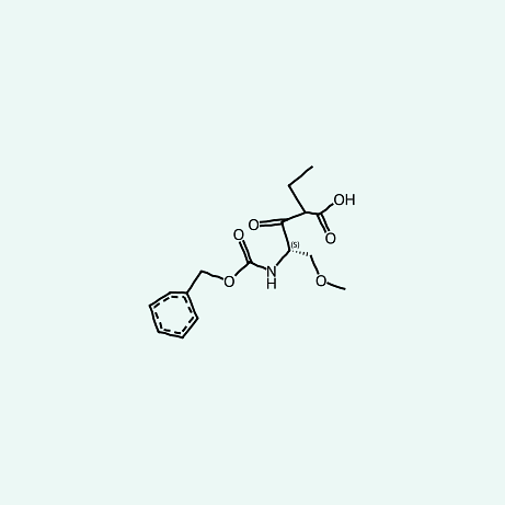 CCC(C(=O)O)C(=O)[C@H](COC)NC(=O)OCc1ccccc1